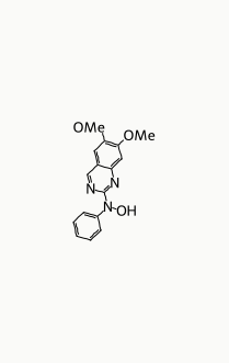 COc1cc2cnc(N(O)c3ccccc3)nc2cc1OC